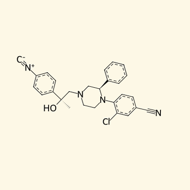 [C-]#[N+]c1ccc([C@](C)(O)CN2CCN(c3ccc(C#N)cc3Cl)[C@H](c3ccccc3)C2)cc1